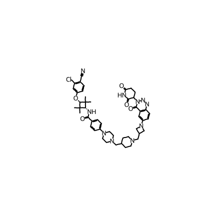 CC1(C)[C@H](NC(=O)c2ccc(N3CCN(CC4CCN(CC5CN(c6ccc7nnn(C8CCC(=O)NC8=O)c(=O)c7c6)C5)CC4)CC3)cc2)C(C)(C)[C@H]1Oc1ccc(C#N)c(Cl)c1